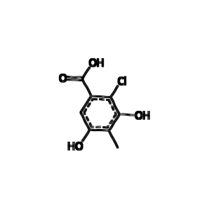 Cc1c(O)cc(C(=O)O)c(Cl)c1O